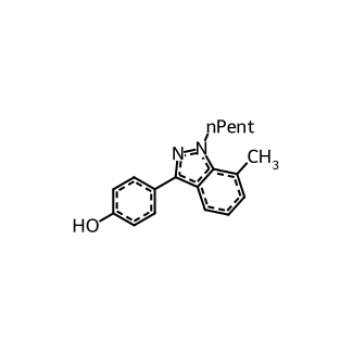 CCCCCn1nc(-c2ccc(O)cc2)c2cccc(C)c21